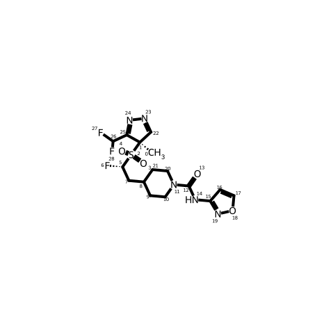 C[C@@]1(S(=O)(=O)[C@@H](F)CC2CCN(C(=O)Nc3ccon3)CC2)C=NN=C1C(F)F